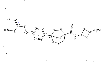 COC1CC(NC(=O)C23CCCC(c4ccc(OC/C(=C/F)CN)cc4)(CC2)CC3)C1